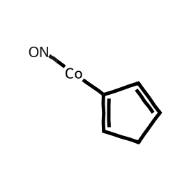 O=[N][Co][C]1=CCC=C1